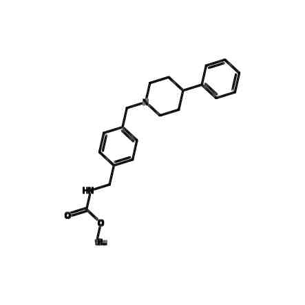 CC(C)(C)OC(=O)NCc1ccc(CN2CCC(c3ccccc3)CC2)cc1